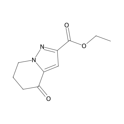 CCOC(=O)c1cc2n(n1)CCCC2=O